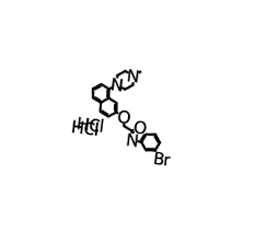 CN1CCN(c2cccc3ccc(OCc4nc5cc(Br)ccc5o4)cc23)CC1.Cl.Cl